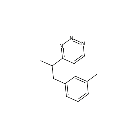 Cc1cccc(CC(C)c2ccnnn2)c1